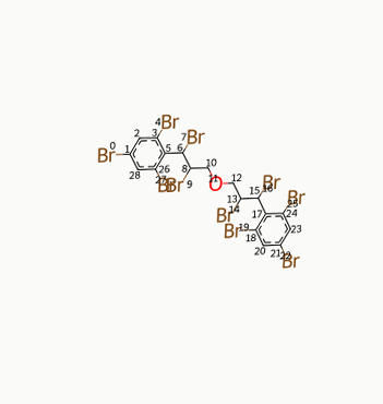 Brc1cc(Br)c(C(Br)C(Br)COCC(Br)C(Br)c2c(Br)cc(Br)cc2Br)c(Br)c1